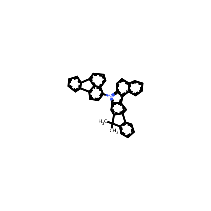 CC1(C)c2ccccc2-c2cc3c4c5ccccc5ccc4n(-c4ccc5c6c(cccc46)-c4ccccc4-5)c3cc21